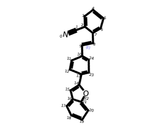 N#Cc1ccccc1/C=C/c1ccc(-c2cc3ccccc3o2)cc1